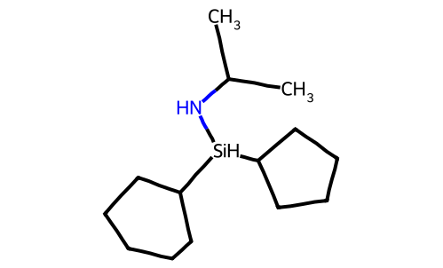 CC(C)N[SiH](C1CCCCC1)C1CCCC1